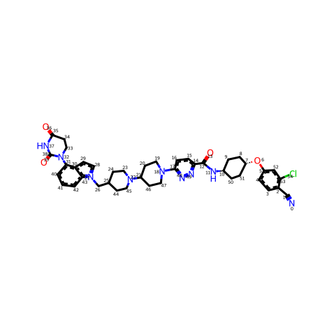 N#Cc1ccc(O[C@H]2CC[C@H](NC(=O)c3ccc(N4CCC(N5CCC(Cn6ccc7c(N8CCC(=O)NC8=O)cccc76)CC5)CC4)nn3)CC2)cc1Cl